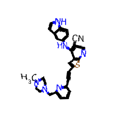 CN1CCN(Cc2cccc(C#Cc3cc4c(Nc5ccc6[nH]ccc6c5)c(C#N)cnc4s3)n2)CC1